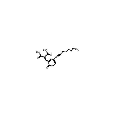 CCCCCCC#CC1=CCC(=S)C(C=C(C(=O)O)C(=O)O)=C1